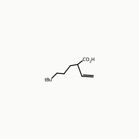 C=CC(CCCC(C)(C)C)C(=O)O